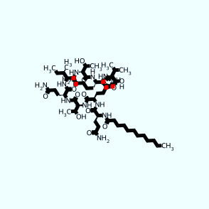 CCCCCCCCCCCC(=O)N[C@@H](CCC(N)=O)C(=O)N[C@H](CCc1c[nH]cn1)C(=O)N[C@H](C(=O)N[C@H](CCC(N)=O)C(=O)NC(C(=O)N[C@@H](C(=O)N[C@@H](CCCCN)C(=O)N[C@@H](C(=O)O)C(C)C)C(C)O)[C@@H](C)CC)C(C)O